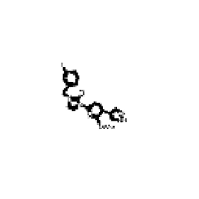 COc1nc(-n2ccn(Cc3cccc(F)c3)c2=O)ccc1-c1cn[nH]c1